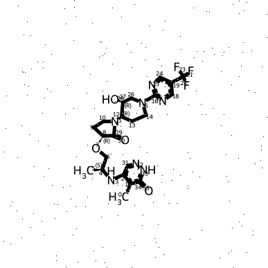 Cc1c(N[C@@H](C)CO[C@@H]2CCN([C@@H]3CCN(c4ncc(C(F)(F)F)cn4)C[C@H]3O)C2=O)cn[nH]c1=O